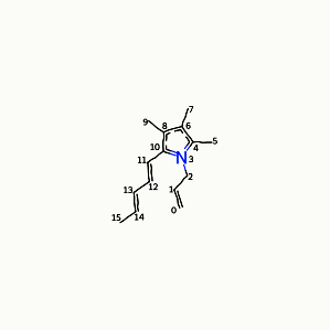 C=CCn1c(C)c(C)c(C)c1C=CC=CC